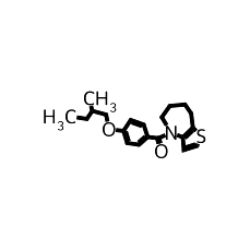 CCC(C)COc1ccc(C(=O)N2CCCCc3sccc32)cc1